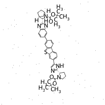 CC(C)(C)OC(=O)N1CCC[C@H]1c1ncc(-c2ccc3c(c2)sc2cc(-c4ccc5nc([C@@H]6[C@H]7CC[C@H](C7)N6C(=O)OC(C)(C)C)[nH]c5c4)ccc23)[nH]1